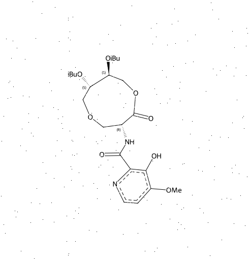 COc1ccnc(C(=O)N[C@@H]2COC[C@H](OCC(C)C)[C@@H](OCC(C)C)COC2=O)c1O